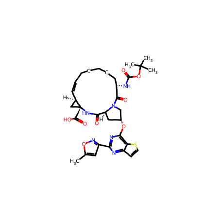 Cc1cc(-c2nc(O[C@@H]3C[C@H]4C(=O)N[C@]5(C(=O)O)C[C@H]5C=CCCCCC[C@H](NC(=O)OC(C)(C)C)C(=O)N4C3)c3sccc3n2)no1